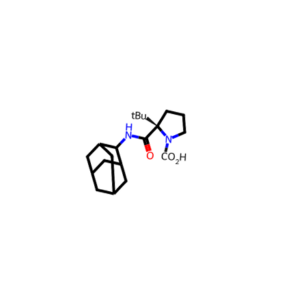 CC(C)(C)[C@@]1(C(=O)NC2C3CC4CC(C3)CC2C4)CCCN1C(=O)O